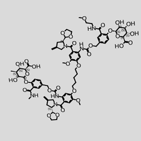 C=C1C[C@@H](C2OCCO2)N(C(=O)c2cc(OC)c(OCCCCCOc3cc(NC(=O)OCc4ccc(O[C@@H]5O[C@H](C(=O)O)[C@@H](O)[C@H](O)[C@H]5O)c(C(=O)NCCOC)c4)c(C(=O)N4CC(=C)C[C@H]4C4OCCO4)cc3OC)cc2NC(=O)OCc2ccc(O[C@@H]3O[C@H](C(=O)O)[C@@H](O)[C@H](C)[C@H]3O)c(C(=O)NC)c2)C1